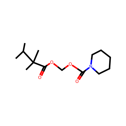 CC(C)C(C)(C)C(=O)OCOC(=O)N1CCCCC1